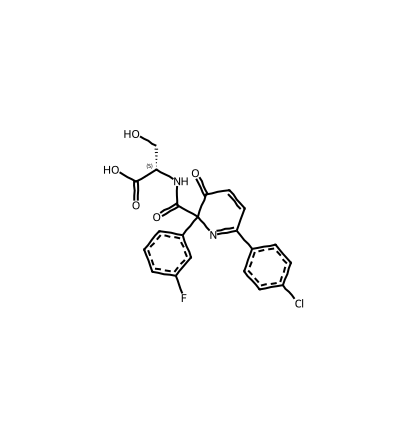 O=C(O)[C@H](CO)NC(=O)C1(c2cccc(F)c2)N=C(c2ccc(Cl)cc2)C=CC1=O